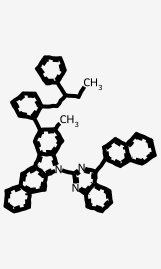 CCC(Cc1ccccc1-c1cc2c3cc4ccccc4cc3n(-c3nc(-c4ccc5ccccc5c4)c4ccccc4n3)c2cc1C)c1ccccc1